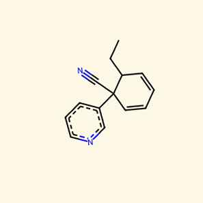 CCC1C=CC=CC1(C#N)c1cccnc1